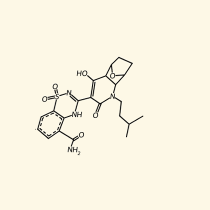 CC(C)CCN1C(=O)C(C2=NS(=O)(=O)c3c[c]cc(C(N)=O)c3N2)=C(O)C2C3CCC(O3)C21